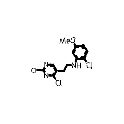 COc1ccc(Cl)c(NCCc2cnc(Cl)nc2Cl)c1